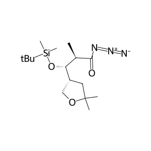 C[C@@H](C(=O)N=[N+]=[N-])[C@@H](O[Si](C)(C)C(C)(C)C)[C@H]1COC(C)(C)C1